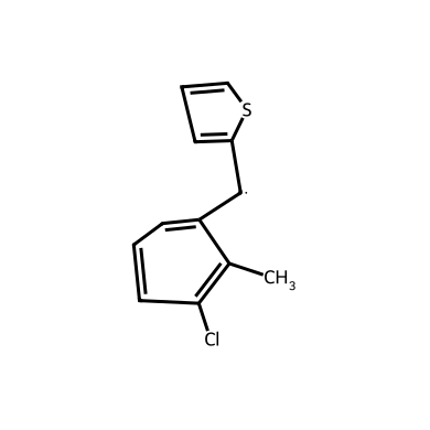 Cc1c(Cl)cccc1[CH]c1cccs1